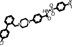 O=C(NS(=O)(=O)c1ccc([N+](=O)[O-])cc1)c1ccc(N2CCN(Cc3ccccc3-c3ccc(Cl)cc3)CC2)cc1